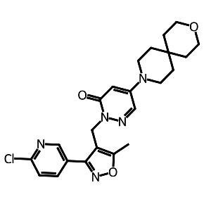 Cc1onc(-c2ccc(Cl)nc2)c1Cn1ncc(N2CCC3(CCOCC3)CC2)cc1=O